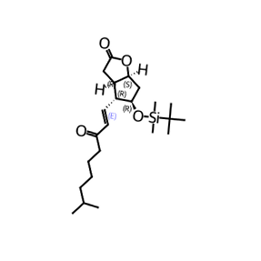 CC(C)CCCCC(=O)/C=C/[C@@H]1[C@H]2CC(=O)O[C@H]2C[C@H]1O[Si](C)(C)C(C)(C)C